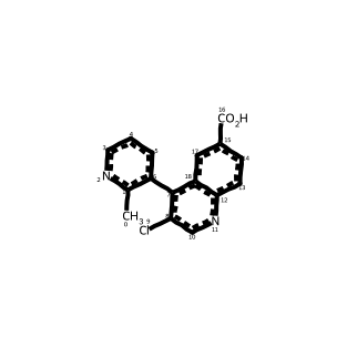 Cc1ncccc1-c1c(Cl)cnc2ccc(C(=O)O)cc12